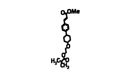 C=C(C)C(=O)OCCOC1CCC(c2ccc(C=CC(=O)OC)cc2)CC1